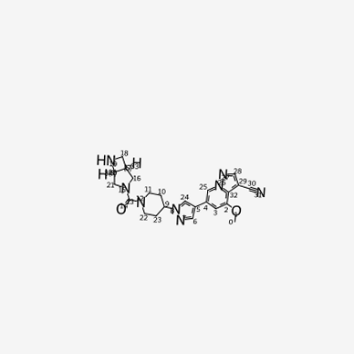 COc1cc(-c2cnn(C3CCN(C(=O)N4C[C@@H]5CN[C@@H]5C4)CC3)c2)cn2ncc(C#N)c12